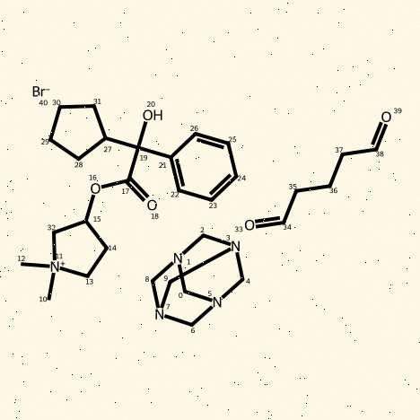 C1N2CN3CN1CN(C2)C3.C[N+]1(C)CCC(OC(=O)C(O)(c2ccccc2)C2CCCC2)C1.O=CCCCC=O.[Br-]